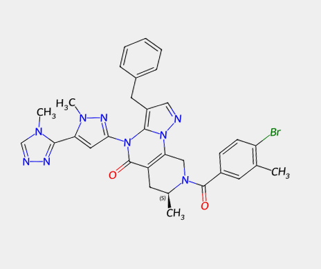 Cc1cc(C(=O)N2Cc3c(c(=O)n(-c4cc(-c5nncn5C)n(C)n4)c4c(Cc5ccccc5)cnn34)C[C@@H]2C)ccc1Br